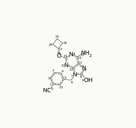 N#Cc1cccc(Cn2c(O)nc3c(N)nc(OC4CCC4)nc32)c1